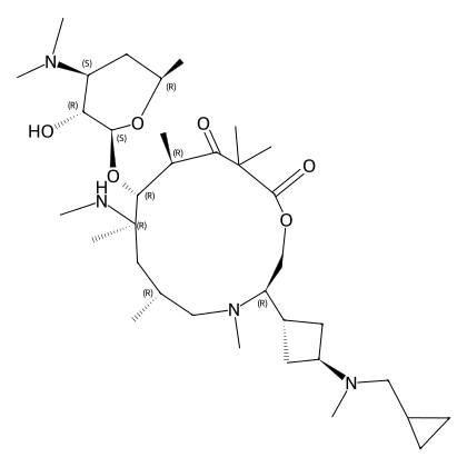 CN[C@]1(C)C[C@@H](C)CN(C)[C@H]([C@H]2C[C@H](N(C)CC3CC3)C2)COC(=O)C(C)(C)C(=O)[C@H](C)[C@H]1O[C@@H]1O[C@H](C)C[C@H](N(C)C)[C@H]1O